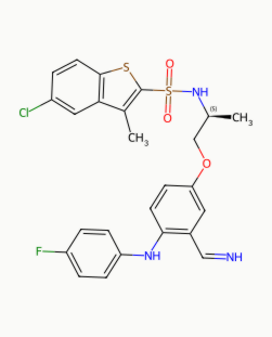 Cc1c(S(=O)(=O)N[C@@H](C)COc2ccc(Nc3ccc(F)cc3)c(C=N)c2)sc2ccc(Cl)cc12